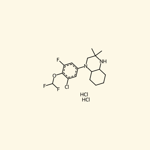 CC1(C)CN(c2cc(F)c(OC(F)F)c(Cl)c2)C2CCCCC2N1.Cl.Cl